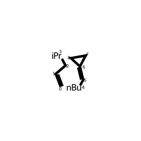 C=CCC(C)C.CCCCC=C1CC1